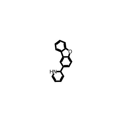 C1=CNC(c2ccc3oc4ccccc4c3c2)C=C1